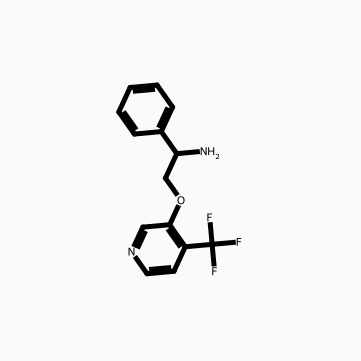 NC(COc1cnccc1C(F)(F)F)c1ccccc1